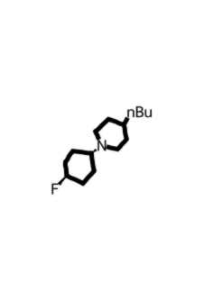 CCCCC1CCN([C@H]2CC[C@H](F)CC2)CC1